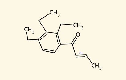 C/C=C/C(=O)c1ccc(CC)c(CC)c1CC